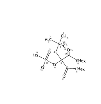 CCCCCCC(=O)C(C[N+](C)(C)C)(OP(=O)([O-])S)C(=O)CCCCCC